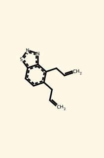 C=CCc1ccc2snnc2c1CC=C